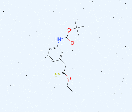 CCOC(=S)Cc1cccc(NC(=O)OC(C)(C)C)c1